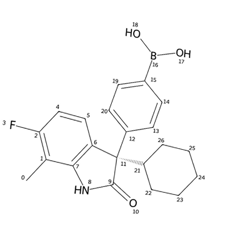 Cc1c(F)ccc2c1NC(=O)[C@@]2(c1ccc(B(O)O)cc1)C1CCCCC1